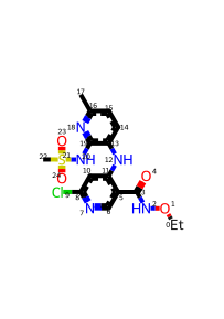 CCONC(=O)c1cnc(Cl)cc1Nc1ccc(C)nc1NS(C)(=O)=O